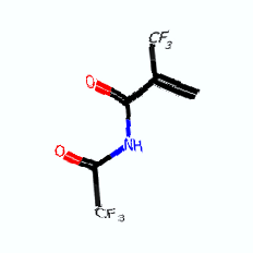 C=C(C(=O)NC(=O)C(F)(F)F)C(F)(F)F